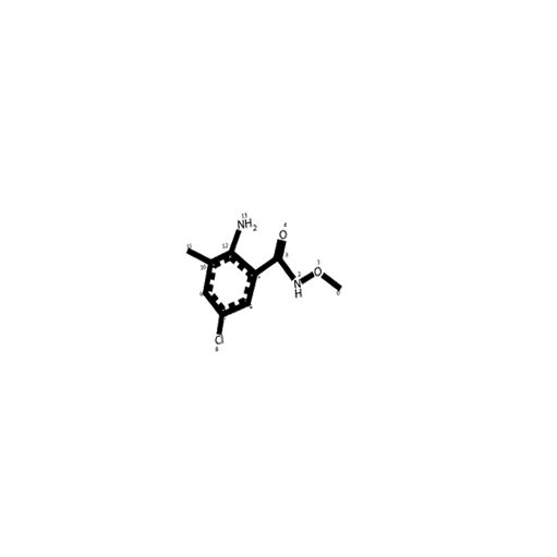 CONC(=O)c1cc(Cl)cc(C)c1N